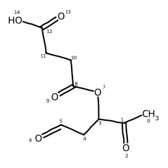 CC(=O)C(CC=O)OC(=O)CCC(=O)O